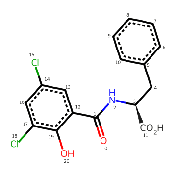 O=C(N[C@@H](Cc1ccccc1)C(=O)O)c1cc(Cl)cc(Cl)c1O